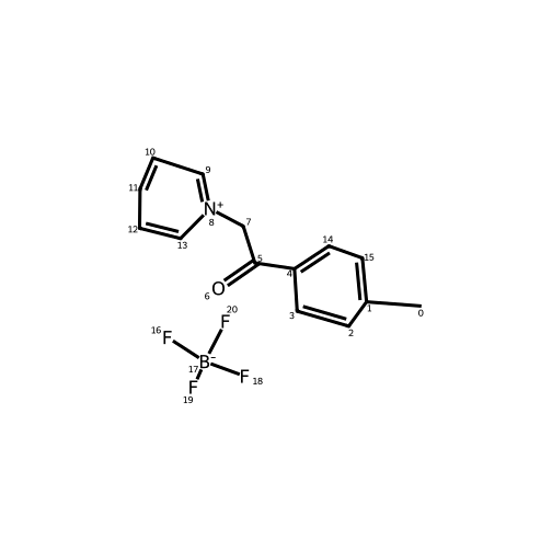 Cc1ccc(C(=O)C[n+]2ccccc2)cc1.F[B-](F)(F)F